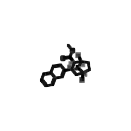 COC(=O)[C@@H]1[C@H](c2ccc3ccccc3c2)C[C@H]2CC[C@@H]1N2C